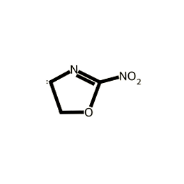 O=[N+]([O-])C1=N[C]CO1